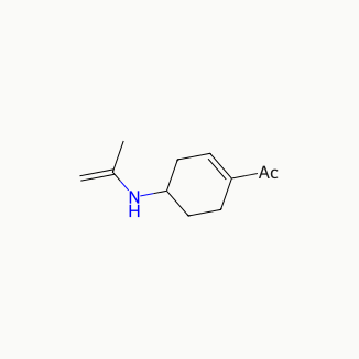 C=C(C)NC1CC=C(C(C)=O)CC1